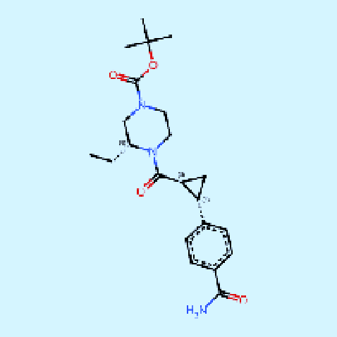 CC[C@@H]1CN(C(=O)OC(C)(C)C)CCN1C(=O)[C@H]1C[C@@H]1c1ccc(C(N)=O)cc1